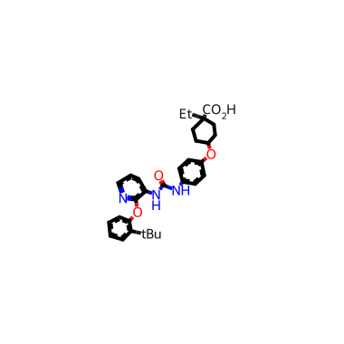 CCC1(C(=O)O)CCC(Oc2ccc(NC(=O)Nc3cccnc3Oc3ccccc3C(C)(C)C)cc2)CC1